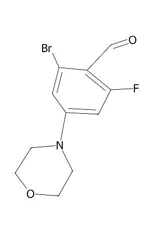 O=Cc1c(F)cc(N2CCOCC2)cc1Br